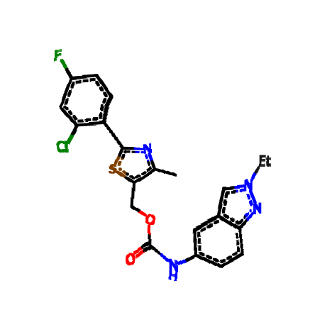 CCn1cc2cc(NC(=O)OCc3sc(-c4ccc(F)cc4Cl)nc3C)ccc2n1